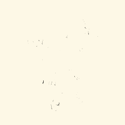 CN(C)C1Cc2c([N+](=O)[O-])cc3[nH]c(=O)c(=O)[nH]c3c2C1